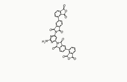 Nc1nc(N2C(=O)c3ccc(-c4cccc5c4C(=O)OC5=O)cc3C2=O)cc(N2C(=O)c3ccc(-c4cccc5c4C(=O)OC5=O)cc3C2=O)n1